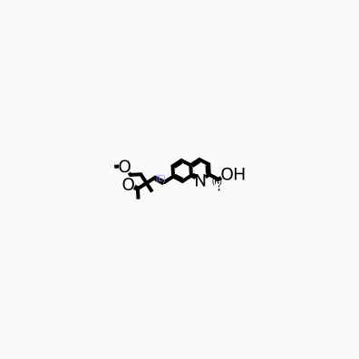 COCCC(C)(/C=C/c1ccc2ccc([C@@H](C)O)nc2c1)C(C)=O